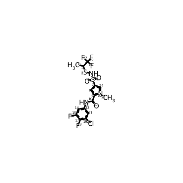 CC(SNS(=O)(=O)c1cc(C(=O)Nc2cc(F)c(F)c(Cl)c2)n(C)c1)C(F)(F)F